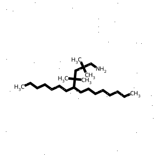 CCCCCCCCC(CCCCCCC)C(C)(C)CC(C)(C)CN